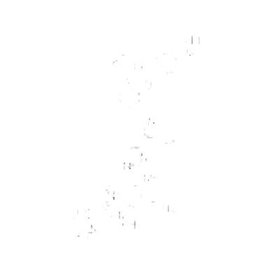 COc1ccc(COc2c(Cn3cc(-c4ccnc(Nc5cc([N+](=O)[O-])c(N(C)CCN(C)C)cc5OC)n4)c4ccccc43)cccc2C2OCCO2)cc1